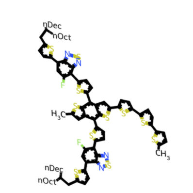 CCCCCCCCCCC(CCCCCCCC)Cc1ccc(-c2cc(F)c(-c3ccc(-c4c5cc(-c6ccc(-c7ccc(-c8ccc(C)s8)s7)s6)sc5c(-c5ccc(-c6c(F)cc(-c7ccc(CC(CCCCCCCC)CCCCCCCCCC)s7)c7nsnc67)s5)c5cc(C)sc45)s3)c3nsnc23)s1